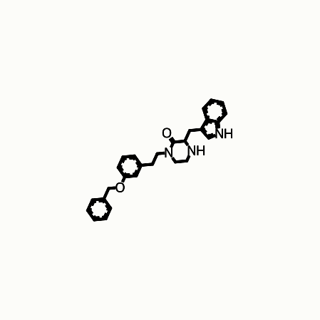 O=C1C(Cc2c[nH]c3ccccc23)NCCN1CCc1cccc(OCc2ccccc2)c1